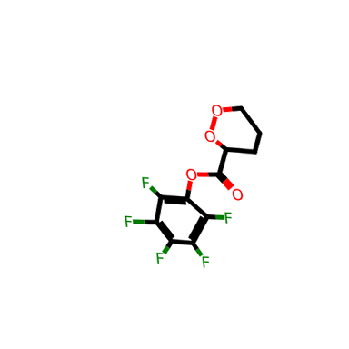 O=C(Oc1c(F)c(F)c(F)c(F)c1F)C1CCCOO1